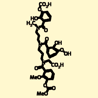 COC(=O)Oc1cccc(C(=O)N(CCCN(CCCN(C)C(=O)c2cccc(OC(=O)O)c2O)C(=O)c2cccc(OO)c2O)CC(=O)O)c1OC